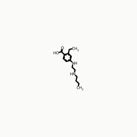 CCCCNCCNc1ccc(C(=O)O)c(CC)c1